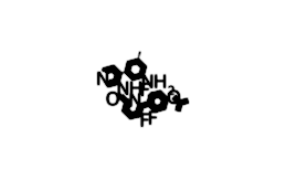 CC(C)Oc1cc(F)c(-c2nc(C(=O)Nc3cnccc3[C@@H]3C[C@H](C)C[C@@H](N)C3)ccc2F)c(F)c1